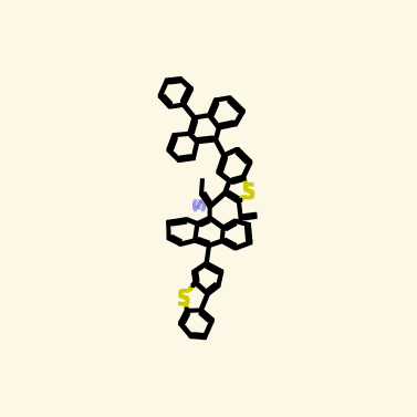 C=Cc1sc2ccc(-c3c4ccccc4c(-c4ccccc4)c4ccccc34)cc2c1/C(=C\C)c1c2ccccc2c(-c2ccc3c(c2)sc2ccccc23)c2ccccc12